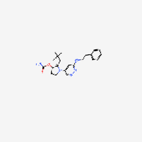 CC(C)(C)C[C@@H]1C(OC(N)=O)CCN1c1cnnc(NCCc2ccccc2)c1